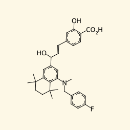 CN(Cc1ccc(F)cc1)c1cc(C(O)C=Cc2ccc(C(=O)O)c(O)c2)cc2c1C(C)(C)CCC2(C)C